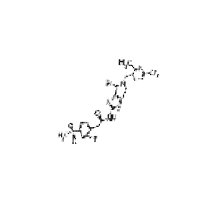 Cc1nc(C(F)(F)F)ccc1CN1Cc2sc(NC(=O)Cc3ccc(S(C)(=O)=O)cc3F)nc2C1C(C)C